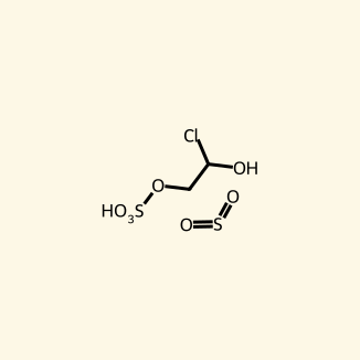 O=S(=O)(O)OCC(O)Cl.O=S=O